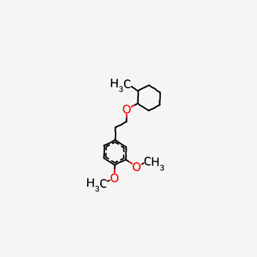 COc1ccc(CCOC2CCCCC2C)cc1OC